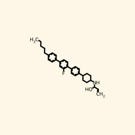 C=CC(O)NC1CCC(c2ccc(-c3ccc(-c4ccc(CCCCC)cc4)cc3F)cc2)CC1